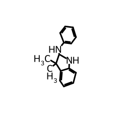 CC1(C)c2ccccc2NC1Nc1ccccc1